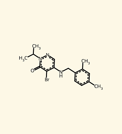 Cc1ccc(CNc2cnn(C(C)C)c(=O)c2Br)c(C)c1